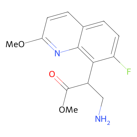 COC(=O)C(CN)c1c(F)ccc2ccc(OC)nc12